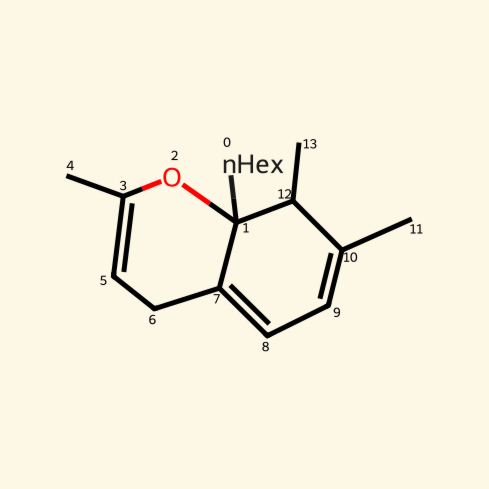 CCCCCCC12OC(C)=CCC1=CC=C(C)C2C